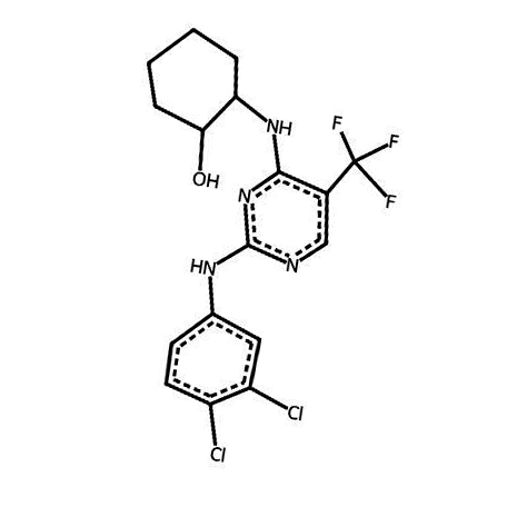 OC1CCCCC1Nc1nc(Nc2ccc(Cl)c(Cl)c2)ncc1C(F)(F)F